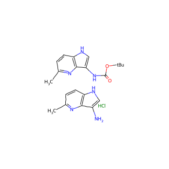 Cc1ccc2[nH]cc(N)c2n1.Cc1ccc2[nH]cc(NC(=O)OC(C)(C)C)c2n1.Cl